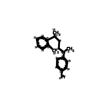 CC(C)c1ccc(N(C)CCC(C)c2ccccc2C(F)(F)F)cc1